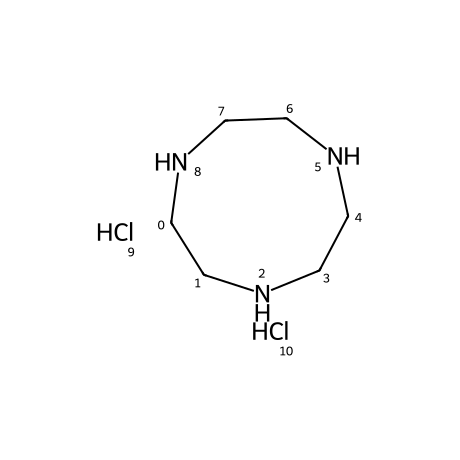 C1CNCCNCCN1.Cl.Cl